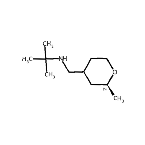 C[C@H]1CC(CNC(C)(C)C)CCO1